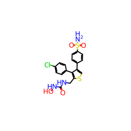 NS(=O)(=O)c1ccc(-c2csc(CNC(=O)NO)c2-c2ccc(Cl)cc2)cc1